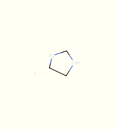 C1CNCN1.O